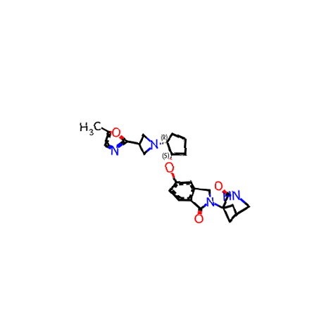 Cc1cnc(C2CN([C@@H]3CCC[C@@H]3Oc3ccc4c(c3)CN(C35CC(CNC3=O)C5)C4=O)C2)o1